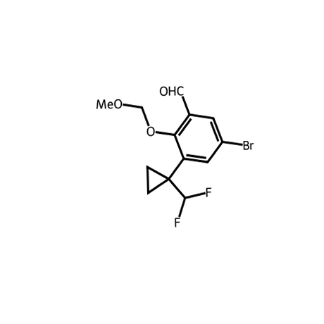 COCOc1c(C=O)cc(Br)cc1C1(C(F)F)CC1